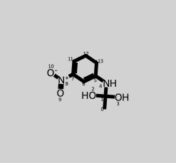 CC(O)(O)NC1=CC([N+](=O)[O-])=CC[CH]1